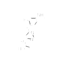 CN(C(=O)O)c1cc(Oc2ccc(N)cc2F)ncn1